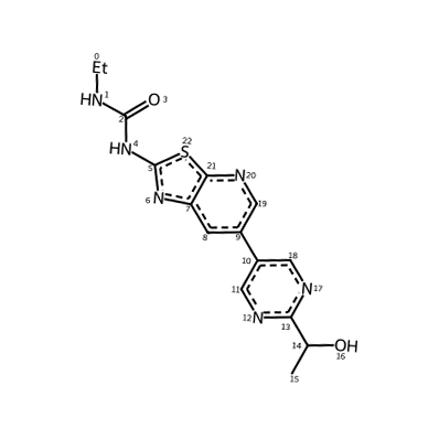 CCNC(=O)Nc1nc2cc(-c3cnc(C(C)O)nc3)cnc2s1